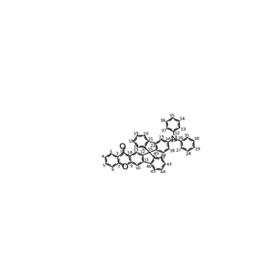 O=c1c2ccccc2oc2cc3c(cc12)C1(c2ccccc2-c2cc(N(c4ccccc4)c4ccccc4)ccc21)c1ccccc1-3